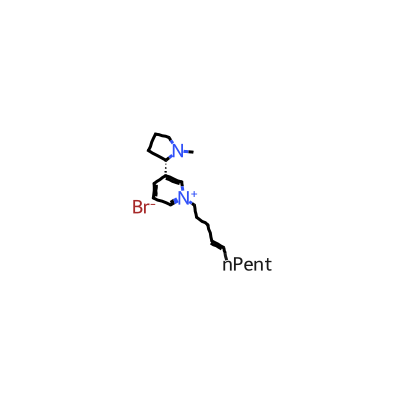 CCCCC/C=C/CCC[n+]1cccc([C@@H]2CCCN2C)c1.[Br-]